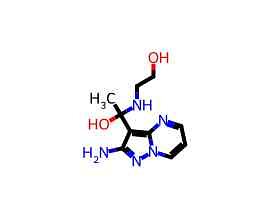 CC(O)(NCCO)c1c(N)nn2cccnc12